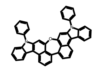 c1ccc(-n2c3ccccc3c3c4cccc5c6cccc7c6c(cc6c7c7ccccc7n6-c6ccccc6)oc(cc32)c54)cc1